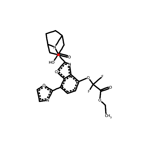 CCOC(=O)C(F)(F)Oc1ccc(-c2ncco2)c2oc(N3CC4CCC(C3)N4C(=O)O)nc12